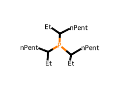 CCCCCC(CC)P(C(CC)CCCCC)C(CC)CCCCC